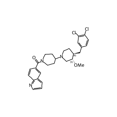 CO[C@@H]1CN(C2CCN(C(=O)c3ccc4ncccc4c3)CC2)CC[C@H]1Cc1ccc(Cl)c(Cl)c1